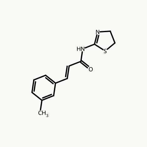 Cc1cccc(/C=C/C(=O)NC2=NCCS2)c1